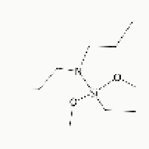 CCCN(CCC)[Si](CC)(OC)OC